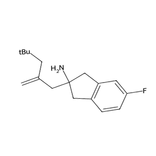 C=C(CC(C)(C)C)CC1(N)Cc2ccc(F)cc2C1